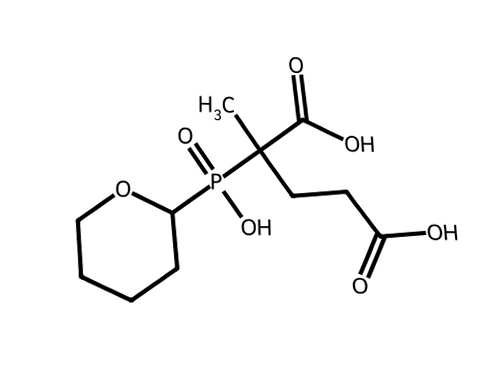 CC(CCC(=O)O)(C(=O)O)P(=O)(O)C1CCCCO1